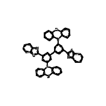 c1ccc2c(c1)Oc1ccccc1N2c1cc(-c2cc(-c3nc4ccccc4o3)cc(N3c4ccccc4Sc4ccccc43)c2)cc(-c2nc3ccccc3s2)c1